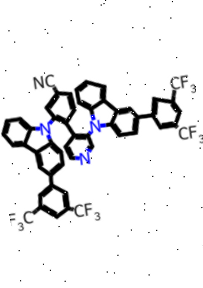 N#Cc1ccc(-c2ccncc2-n2c3ccccc3c3cc(-c4cc(C(F)(F)F)cc(C(F)(F)F)c4)ccc32)c(-n2c3ccccc3c3cc(-c4cc(C(F)(F)F)cc(C(F)(F)F)c4)ccc32)c1